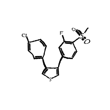 CS(=O)(=O)c1ccc(-c2cscc2-c2ccc(Cl)cc2)cc1F